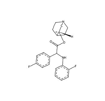 O=C(O[C@H]1CN2CCC1CC2)C(Nc1ccccc1F)c1ccc(F)cc1